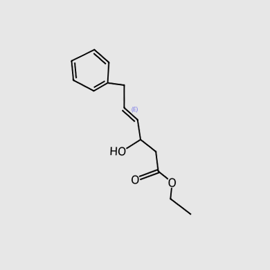 CCOC(=O)CC(O)/C=C/Cc1ccccc1